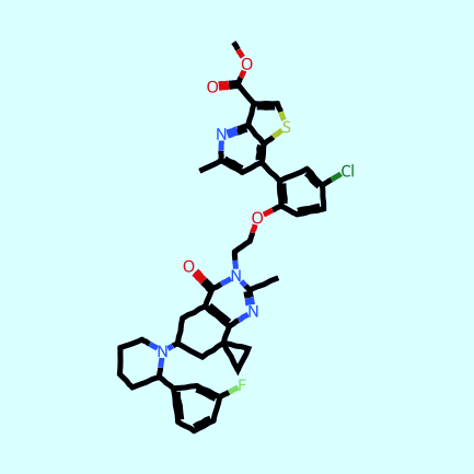 COC(=O)c1csc2c(-c3cc(Cl)ccc3OCCn3c(C)nc4c(c3=O)CC(N3CCCCC3c3cccc(F)c3)CC43CC3)cc(C)nc12